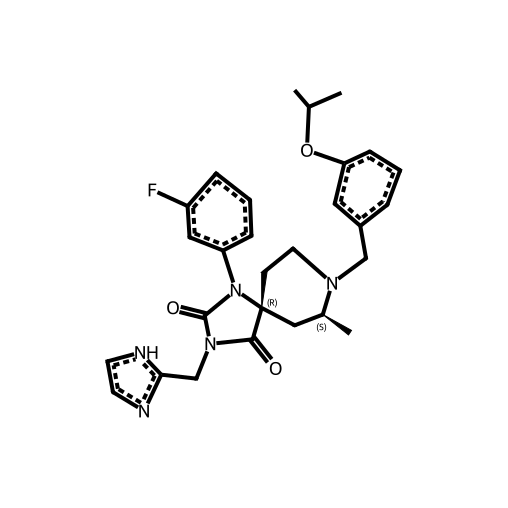 CC(C)Oc1cccc(CN2CC[C@@]3(C[C@@H]2C)C(=O)N(Cc2ncc[nH]2)C(=O)N3c2cccc(F)c2)c1